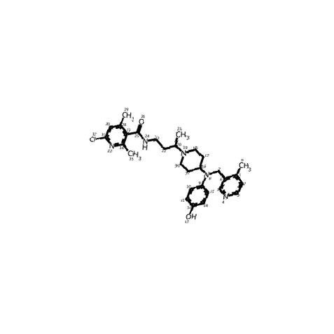 Cc1ccncc1CN(c1ccc(O)cc1)C1CCN(C(C)CCNC(=O)c2c(C)cc(Cl)nc2C)CC1